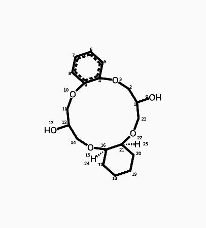 OC1COc2ccccc2OCC(O)CO[C@@H]2CCCC[C@@H]2OC1